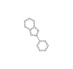 c1ccc(-n2cc3ccccc3c2)cc1